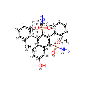 Cc1cccc(C)c1-c1c(S(N)(=O)=O)c(-c2c(C)cccc2C)c2ccc(O)cc2c1S(N)(=O)=O